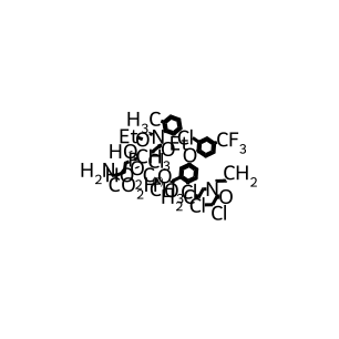 C=CCN(CC=C)C(=O)C(Cl)Cl.CCOCN(C(=O)CCl)c1c(C)cccc1CC.CP(=O)(O)CCC(N)C(=O)O.C[C@H](OC(=O)c1cc(Oc2ccc(C(F)(F)F)cc2Cl)ccc1Cl)C(=O)O